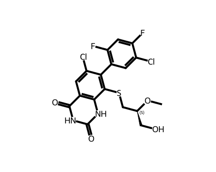 CO[C@@H](CO)CSc1c(-c2cc(Cl)c(F)cc2F)c(Cl)cc2c(=O)[nH]c(=O)[nH]c12